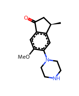 COc1cc2c(cc1N1CCNCC1)[C@H](C)CC2=O